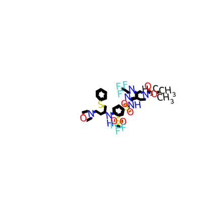 CC(C)(C)OC(=O)N1CCc2c(nc(C(F)(F)F)nc2NS(=O)(=O)c2ccc(NC(CCN3CCOCC3)CSc3ccccc3)c(S(=O)(=O)C(F)(F)F)c2)C1